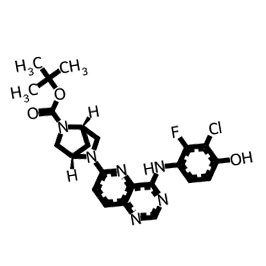 CC(C)(C)OC(=O)N1C[C@@H]2C[C@H]1CN2c1ccc2ncnc(Nc3ccc(O)c(Cl)c3F)c2n1